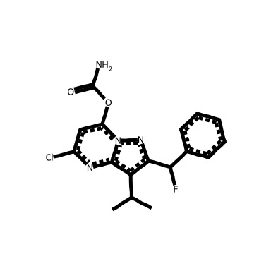 CC(C)c1c(C(F)c2ccccc2)nn2c(OC(N)=O)cc(Cl)nc12